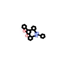 c1ccc(-c2nc3nc(n2)c2cccc4oc5c(cc(c6ccccc36)c3c6ccccc6oc53)c42)cc1